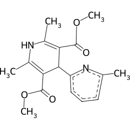 COC(=O)C1=C(C)NC(C)=C(C(=O)OC)C1c1cccc(C)n1